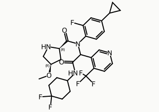 CO[C@H]1CN[C@@H](C(=O)N(c2ccc(C3CC3)cc2F)C(C(=O)NC2CCC(F)(F)CC2)c2cnccc2C(F)(F)F)C1